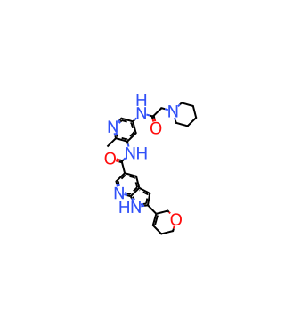 Cc1ncc(NC(=O)CN2CCCCC2)cc1NC(=O)c1cnc2[nH]c(C3=CCCOC3)cc2c1